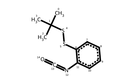 CC(C)(C)SSc1ccccc1N=C=O